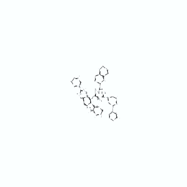 c1ccc(-c2cccc(-c3nc(-c4ccc5ccccc5c4)nc(-c4c5sc(-c6ccccc6)nc5cc5oc6ccccc6c45)n3)c2)cc1